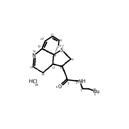 CCC(C)CNC(=O)C1CS[C@]23CC=CC=C2N=CCC13.Cl